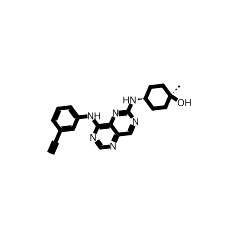 C#Cc1cccc(Nc2ncnc3cnc(N[C@H]4CC[C@](C)(O)CC4)nc23)c1